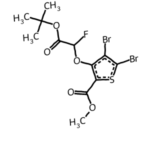 COC(=O)c1sc(Br)c(Br)c1OC(F)C(=O)OC(C)(C)C